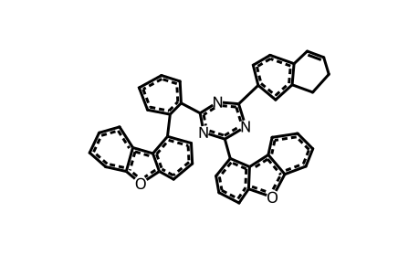 C1=Cc2ccc(-c3nc(-c4ccccc4-c4cccc5oc6ccccc6c45)nc(-c4cccc5oc6ccccc6c45)n3)cc2CC1